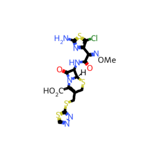 CO/N=C(\C(=O)NC1C(=O)N2C(C(=O)O)=C(CSc3nncs3)CS[C@H]12)c1nc(N)sc1Cl